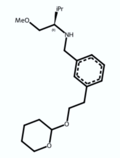 COC[C@H](NCc1cccc(CCOC2CCCCO2)c1)C(C)C